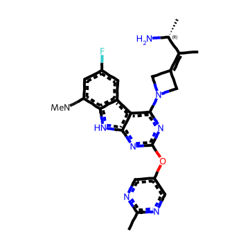 CNc1cc(F)cc2c1[nH]c1nc(Oc3cnc(C)nc3)nc(N3CC(=C(C)[C@@H](C)N)C3)c12